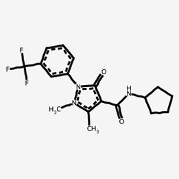 Cc1c(C(=O)NC2CCCC2)c(=O)n(-c2cccc(C(F)(F)F)c2)n1C